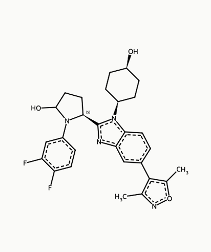 Cc1noc(C)c1-c1ccc2c(c1)nc([C@@H]1CCC(O)N1c1ccc(F)c(F)c1)n2[C@H]1CC[C@@H](O)CC1